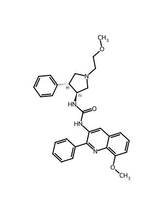 COCCN1C[C@@H](NC(=O)Nc2cc3cccc(OC)c3nc2-c2ccccc2)[C@H](c2ccccc2)C1